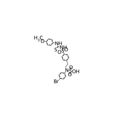 COc1ccc(NC(=S)NS(=O)(=O)c2ccc(CCN(c3ccc(Br)cc3)S(=O)(=O)O)cc2)cc1